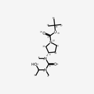 CC(O)N(C)C(=O)N(C)[C@H]1CCN(C(=O)OC(C)(C)C)C1